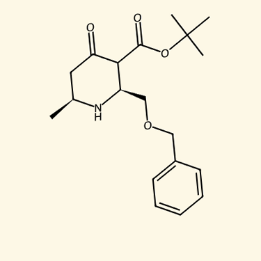 C[C@H]1CC(=O)C(C(=O)OC(C)(C)C)[C@@H](COCc2ccccc2)N1